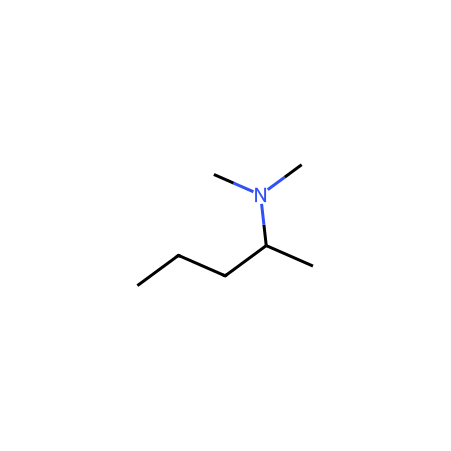 CCCC(C)N(C)C